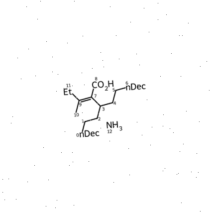 CCCCCCCCCCCCC(CCCCCCCCCCCC)C(C(=O)O)=C(C)CC.N